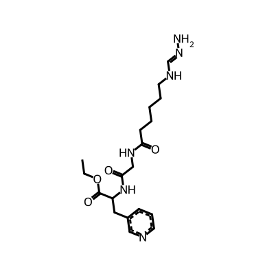 CCOC(=O)C(Cc1cccnc1)NC(=O)CNC(=O)CCCCCNC=NN